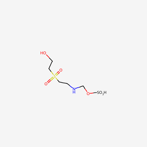 O=S(=O)(CCO)CCNCOS(=O)(=O)O